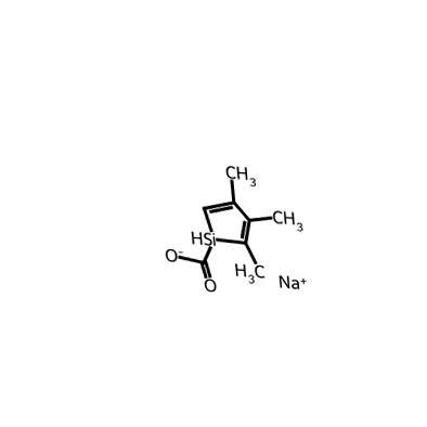 CC1=C[SiH](C(=O)[O-])C(C)=C1C.[Na+]